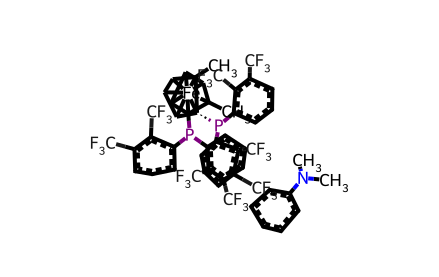 CN(C)c1ccccc1.C[C]12[CH]3[CH]4[CH]5[C]1(P(c1cccc(C(F)(F)F)c1C(F)(F)F)c1cccc(C(F)(F)F)c1C(F)(F)F)[Fe]43521678[CH]2[CH]1[C]6(C)[C@@]7(P(c1cccc(C(F)(F)F)c1C(F)(F)F)c1cccc(C(F)(F)F)c1C(F)(F)F)[CH]28